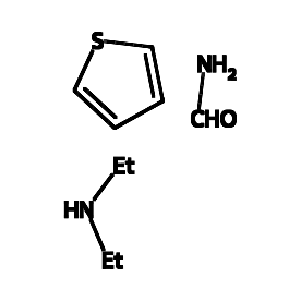 CCNCC.NC=O.c1ccsc1